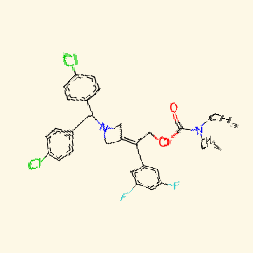 CN(C)C(=O)OCC(=C1CN(C(c2ccc(Cl)cc2)c2ccc(Cl)cc2)C1)c1cc(F)cc(F)c1